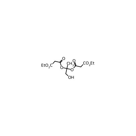 CCOC(=O)CC(=O)OC(C)(CO)OC(=O)CC(=O)OCC